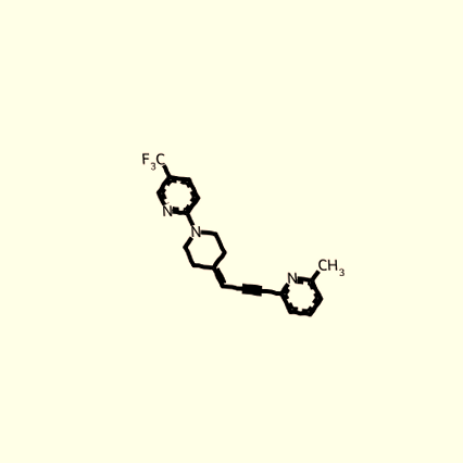 Cc1cccc(C#CC=C2CCN(c3ccc(C(F)(F)F)cn3)CC2)n1